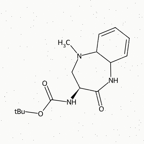 CN1C[C@H](NC(=O)OC(C)(C)C)C(=O)NC2C=CC=CC21